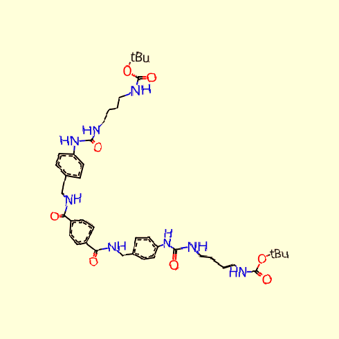 CC(C)(C)OC(=O)NCCCCNC(=O)Nc1ccc(CNC(=O)c2ccc(C(=O)NCc3ccc(NC(=O)NCCCCNC(=O)OC(C)(C)C)cc3)cc2)cc1